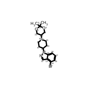 CC1(C)OCC(N2CCC(n3ncc4c(Br)cccc43)CC2)CO1